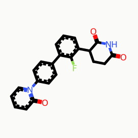 O=C1CCC(c2cccc(-c3ccc(-n4ccccc4=O)cc3)c2F)C(=O)N1